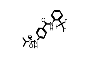 CC(C)S(=O)(=O)Nc1ccc(C(=O)Nc2ccccc2C(F)(F)F)cc1